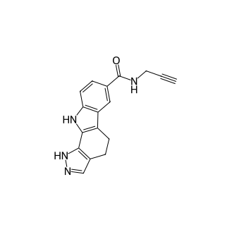 C#CCNC(=O)c1ccc2[nH]c3c(c2c1)CCc1cn[nH]c1-3